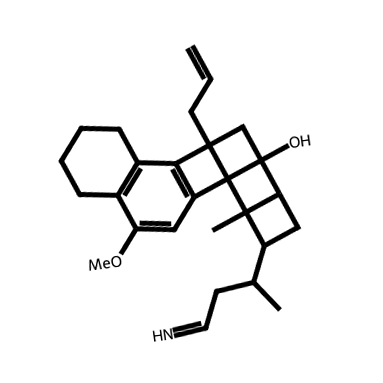 C=CCC12CC3(O)C4CC(C(C)CC=N)C4(C)C13c1cc(OC)c3c(c12)CCCC3